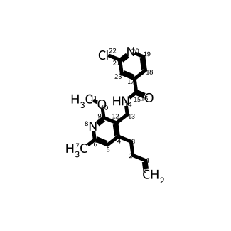 C=CCCc1cc(C)nc(OC)c1CNC(=O)c1ccnc(Cl)c1